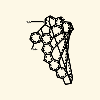 COc1ccc(C2N(C)CC3C4=c5c6c7c8c(cc9cc%10cc%11cc%12cc%13c%14c(c5c5c6c6c8c9c8c%10c%11c9c%12c%14c5c9c86)=C(C4)C%13)CC732)cc1